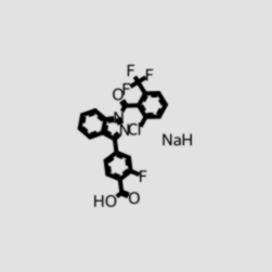 O=C(O)c1ccc(-c2nn(C(=O)c3c(Cl)cccc3C(F)(F)F)c3ccccc23)cc1F.[NaH]